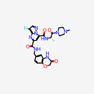 C[C@H](NC(=O)c1cc(C(=O)NCc2ccc3c(c2)NC(=O)CO3)nc2c(F)cnn12)C(=O)N1CCN(C)CC1